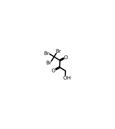 O=C(CO)C(=O)C(Br)(Br)Br